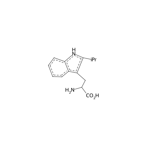 CC(C)c1[nH]c2ccccc2c1CC(N)C(=O)O